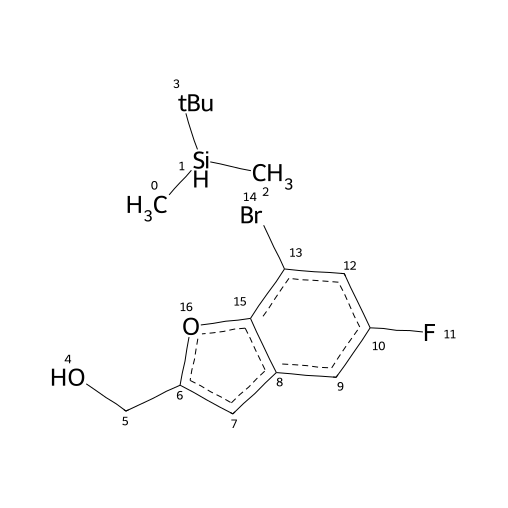 C[SiH](C)C(C)(C)C.OCc1cc2cc(F)cc(Br)c2o1